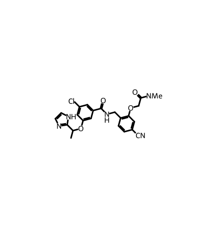 CNC(=O)COc1cc(C#N)ccc1CNC(=O)c1cc(Cl)cc(OC(C)c2ncc[nH]2)c1